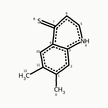 Cc1cc2[nH]ccc(=S)c2cc1C